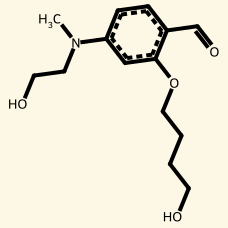 CN(CCO)c1ccc(C=O)c(OCCCCO)c1